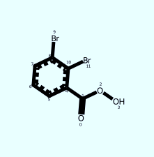 O=C(OO)c1cccc(Br)c1Br